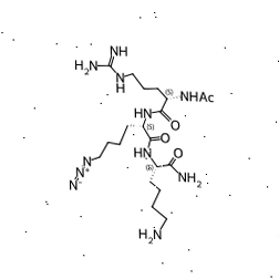 CC(=O)N[C@@H](CCCNC(=N)N)C(=O)N[C@@H](CCCCN=[N+]=[N-])C(=O)N[C@@H](CCCCN)C(N)=O